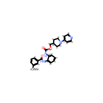 COc1cccc(C(=O)Nc2ccccc2NC(=O)OCC2CCN(c3ccncc3)CC2)c1